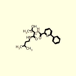 CC(C)C[CH]NC(=O)[C@@H](NC(=O)c1cccc(-c2ccccc2)n1)[C@@H](C)O